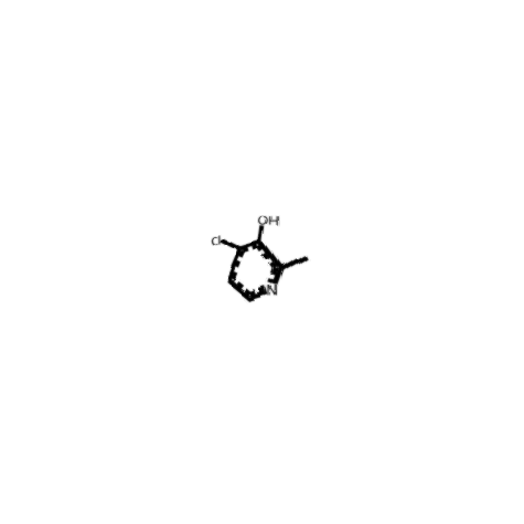 Cc1nccc(Cl)c1O